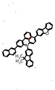 CC1(C)c2ccccc2-c2ccc(N(c3ccc(-c4ccc5c(c4)oc4ccccc45)cc3)c3cc(-c4ccc5ccccc5c4)ccc3-c3ccccc3)cc21